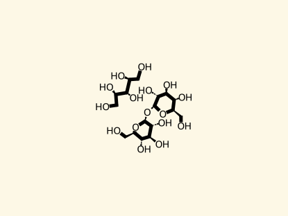 OC[C@@H](O)[C@@H](O)[C@@H](O)CO.OC[C@H]1O[C@H](O[C@H]2O[C@H](CO)[C@@H](O)[C@H](O)[C@H]2O)[C@H](O)[C@@H](O)[C@@H]1O